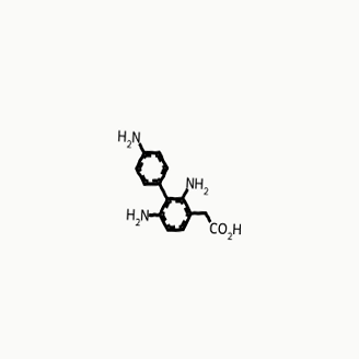 Nc1ccc(-c2c(N)ccc(CC(=O)O)c2N)cc1